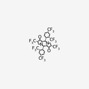 O=c1c(C(F)(F)F)cn2c(-c3ccc(C(F)(F)F)cc3C(F)(F)F)c3c(=O)c(C(F)(F)F)cn3c(-c3ccc(C(F)(F)F)cc3C(F)(F)F)c12